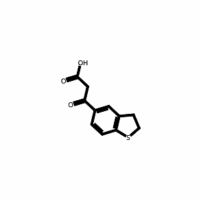 O=C(O)CC(=O)c1ccc2c(c1)CCS2